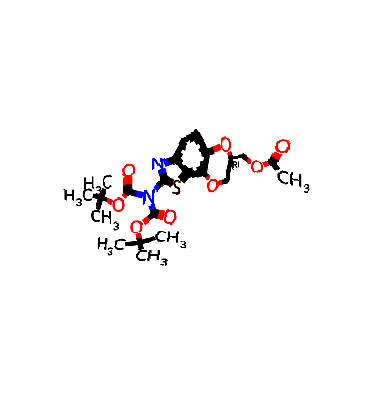 CC(=O)OC[C@H]1COc2c(ccc3nc(N(C(=O)OC(C)(C)C)C(=O)OC(C)(C)C)sc23)O1